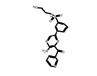 Nc1ncc(-c2cccc(S(=O)(=O)NCCO)c2)nc1C(=O)c1cccnc1